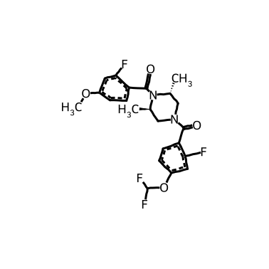 COc1ccc(C(=O)N2[C@H](C)CN(C(=O)c3ccc(OC(F)F)cc3F)C[C@H]2C)c(F)c1